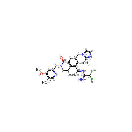 CCOc1cc(CN2CCc3c(cc(Cn4ccnc4C)cc3/C(=N/C(=N)C(F)F)NC)C2=O)ncc1C#N